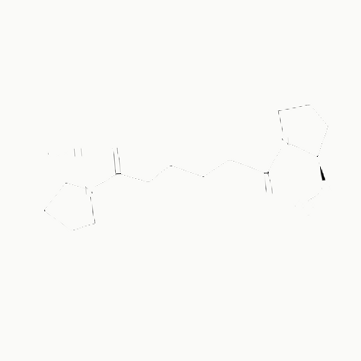 O=C(O)O[C@@H]1CCCN1C(=O)CCCCC(=O)N1CCC[C@@H]1C(=O)O